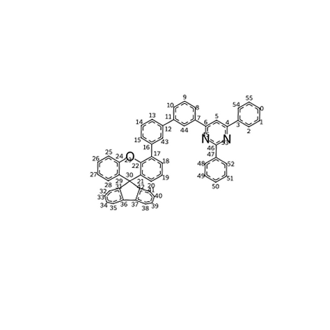 c1ccc(-c2cc(-c3cccc(-c4cccc(-c5cccc6c5Oc5ccccc5C65c6ccccc6-c6ccccc65)c4)c3)nc(-c3ccccc3)n2)cc1